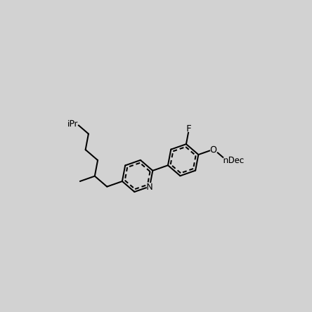 CCCCCCCCCCOc1ccc(-c2ccc(CC(C)CCCC(C)C)cn2)cc1F